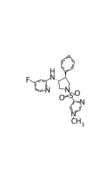 Cn1cnc(S(=O)(=O)N2C[C@H](Nc3cc(F)ccn3)[C@@H](c3ccccc3)C2)c1